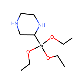 CCO[Si](OCC)(OCC)C1CNCCN1